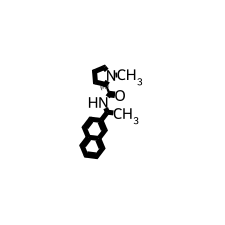 CC(NC(=O)[C@H]1CCCN1C)c1ccc2ccccc2c1